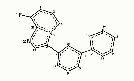 Fc1cccn2c(-c3cccc(-c4cccnc4)c3)cnc12